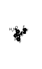 NC(=O)c1cccc(-c2cccnc2C(Cc2cc(F)cc(F)c2)NC(=O)Cn2ccc3c(F)cc(F)cc32)c1